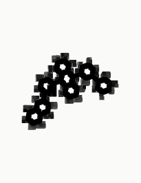 c1ccc(-c2cccc(-c3c4ccccc4c(-c4cccc(-c5ccc6ccccc6c5)n4)c4ccccc34)c2)cc1